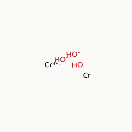 [Cr+3].[Cr].[OH-].[OH-].[OH-]